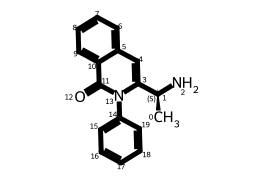 C[C@H](N)c1cc2ccccc2c(=O)n1-c1ccccc1